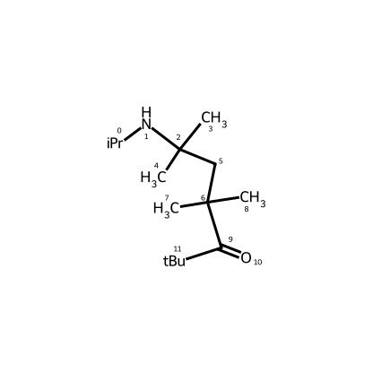 CC(C)NC(C)(C)CC(C)(C)C(=O)C(C)(C)C